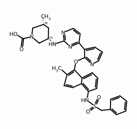 Cc1ccc2c(NS(=O)(=O)Cc3ccccc3)cccc2c1Oc1ncccc1-c1ccnc(N[C@H]2C[C@@H](C)CN(C(=O)O)C2)n1